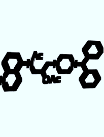 CC(=O)OC(CN1CCN(C(c2ccccc2)c2ccccc2)CC1)CN(C(C)=O)c1cccc2ncccc12